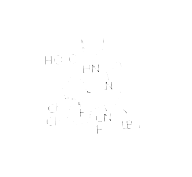 CC(C)(C)C[C@@H]1CN(C(=O)Nc2ccccc2C(=O)O)[C@H](C2CC=CC(Cl)=C2F)[C@@]1(C#N)c1ccc(Cl)cc1F